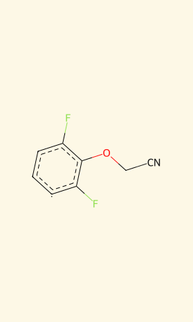 N#CCOc1c(F)[c]ccc1F